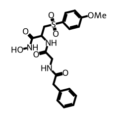 COc1ccc(S(=O)(=O)CC(NC(=O)CNC(=O)Cc2ccccc2)C(=O)NO)cc1